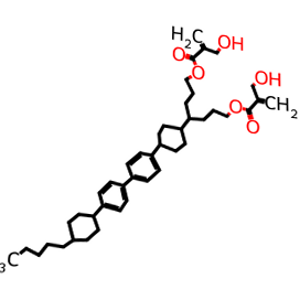 C=C(CO)C(=O)OCCCC(CCCOC(=O)C(=C)CO)C1CCC(c2ccc(-c3ccc(C4CCC(CCCCC)CC4)cc3)cc2)CC1